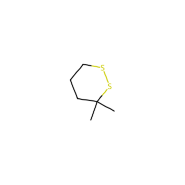 CC1(C)CCCSS1